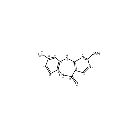 CSc1ncc2c(n1)Nc1cc(C)ccc1NC2=O